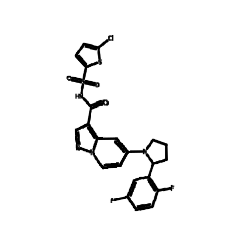 O=C(NS(=O)(=O)c1ccc(Cl)s1)c1cnn2ccc(N3CCCC3c3cc(F)ccc3F)cc12